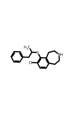 CC(Cc1ccccc1)Sc1c(Cl)ccc2c1CCNCC2